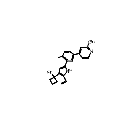 C=Cc1[nH]c(-c2cc(-c3ccnc(C(C)(C)C)c3)ccc2C)cc1C1(CC)CCC1